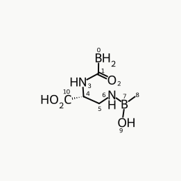 BC(=O)N[C@H](CNB(C)O)C(=O)O